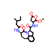 CCC(C)CC(=O)NC1CCc2cccc3c2N(C1=O)C(C(=O)NC1CC(=O)OC1OC)C3